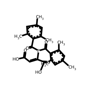 Cc1cc(C)c(C(=O)P(C(=O)c2c(C)cc(C)cc2C)/C(=C\C(=O)O)C(=O)O)c(C)c1